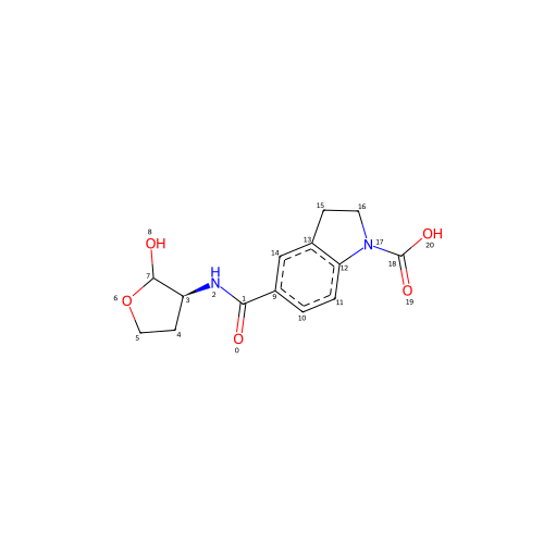 O=C(N[C@H]1CCOC1O)c1ccc2c(c1)CCN2C(=O)O